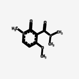 COc1ccn(C)c(=O)c1C(=O)N(C)C